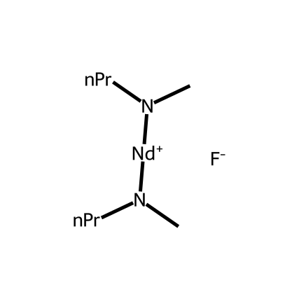 CCC[N](C)[Nd+][N](C)CCC.[F-]